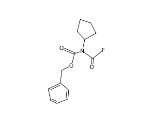 O=C(F)N(C(=O)OCc1ccccc1)C1CCCC1